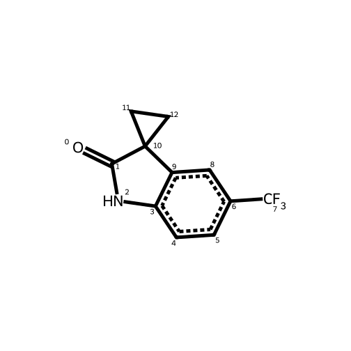 O=C1Nc2ccc(C(F)(F)F)cc2C12CC2